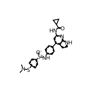 CN(C)Sc1ccc([S+]([O-])Nc2ccc(-c3cc(NC(=O)C4CC4)nc4[nH]ccc34)cc2)cc1